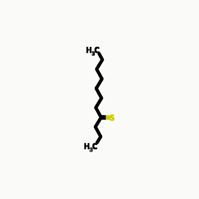 CCCCCCCC(=S)CCC